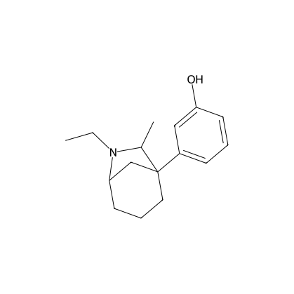 CCN1C2CCCC(c3cccc(O)c3)(C2)C1C